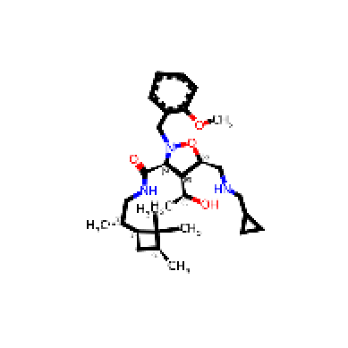 COc1ccccc1CN1O[C@@H](CNCC2CC2)[C@@H]([C@H](C)O)[C@H]1C(=O)NC[C@@H](C)[C@@H]1C[C@H](C)C1(C)C